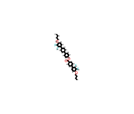 CCCCOc1ccc(C2=CCC(C(=O)Oc3ccc(C4CC=C(c5ccc(OCCCC)c(F)c5F)CC4)cc3)CC2)c(F)c1F